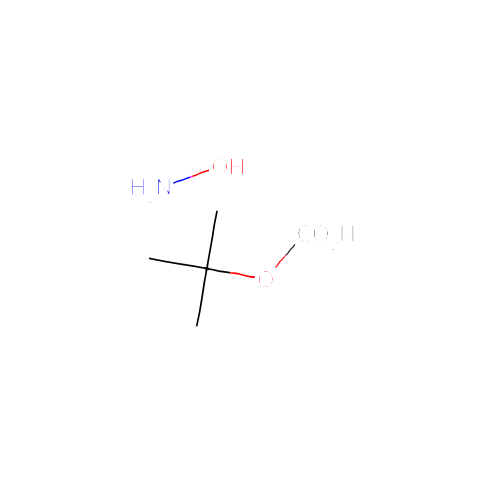 CC(C)(C)OC(=O)O.NO